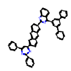 c1ccc(-c2cc(-c3ccccc3)cc(-c3nc(-c4ccc5cc6cc(-c7cc(-c8ccccc8)nc(-c8ccccc8)n7)ccc6cc5c4)nc4ccccc34)c2)cc1